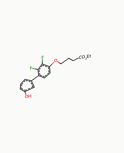 CCOC(=O)CCCOc1ccc(-c2cccc(O)c2)c(F)c1F